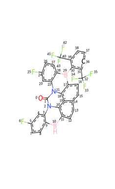 O=C1N2c3cc(F)ccc3Bc3ccc4ccc5c(c4c32)N1c1cc(F)ccc1B5c1c(C(F)(F)F)cccc1C(F)(F)F